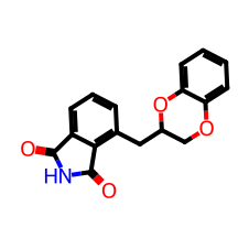 O=C1NC(=O)c2c(CC3COc4ccccc4O3)cccc21